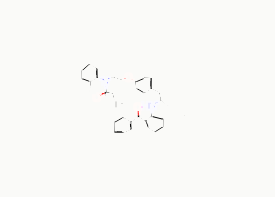 Cc1ccccc1N(CCOc1ccc(CC(Nc2ccccc2C(=O)c2ccccc2)C(=O)O)cc1)C(=O)CC(C)C